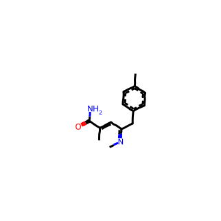 C/N=C(\C=C(/C)C(N)=O)Cc1ccc(C)cc1